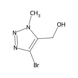 Cn1nnc(Br)c1CO